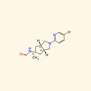 C[C@@]1(NC=O)C[C@H]2CN(c3ccc(Br)cn3)C[C@H]2C1